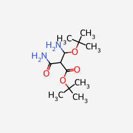 CC(C)(C)OC(=O)C(C(N)=O)C(N)OC(C)(C)C